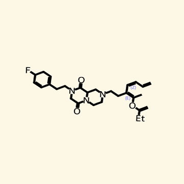 C=C/C=C\C(CCN1CCN2C(=O)CN(CCC3=CCC(F)C=C3)C(=O)C2C1)=C(/C)OC(=C)CC